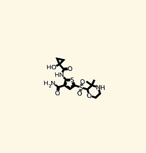 CC1(C)NCCOC1S(=O)(=O)c1cc(C(N)=O)c(NC(=O)C2(O)CC2)s1